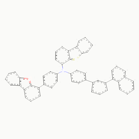 c1cc(-c2ccc(N(c3ccc(-c4cccc5c4oc4ccccc45)cc3)c3cccc4c3sc3ccccc34)cc2)cc(-c2cccc3ccccc23)c1